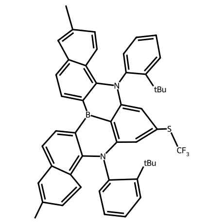 Cc1ccc2c3c(ccc2c1)B1c2ccc4cc(C)ccc4c2N(c2ccccc2C(C)(C)C)c2cc(SC(F)(F)F)cc(c21)N3c1ccccc1C(C)(C)C